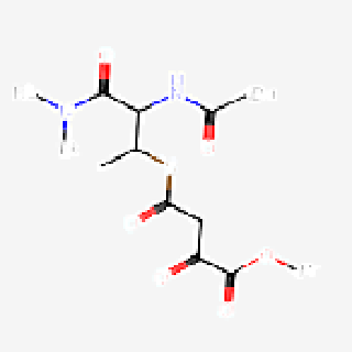 CCC(C)C(=O)NC(C(=O)N(CC)CC)C(C)SC(=O)CC(=O)C(=O)OC(C)C